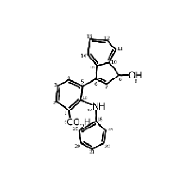 O=C(O)c1cccc(C2=CC(O)c3ccccc32)c1Nc1ccccc1